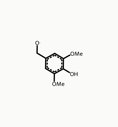 COc1cc(C[O])cc(OC)c1O